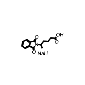 CC(CCCC(=O)O)N1C(=O)c2ccccc2C1=O.[NaH]